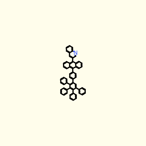 c1ccc(-c2cc(-c3ccc(-c4c5ccccc5c(-c5cnc6ccccc6c5)c5ccccc45)cc3)c(-c3ccccc3)c(-c3ccccc3)c2-c2ccccc2)cc1